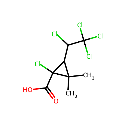 CC1(C)C(C(Cl)C(Cl)(Cl)Cl)C1(Cl)C(=O)O